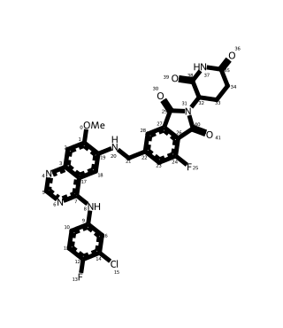 COc1cc2ncnc(Nc3ccc(F)c(Cl)c3)c2cc1NCc1cc(F)c2c(c1)C(=O)N(C1CCC(=O)NC1=O)C2=O